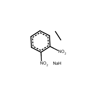 CC.O=[N+]([O-])c1ccccc1[N+](=O)[O-].[NaH]